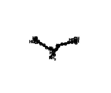 C[C@H]1[C@H]2OC[C@](COCCOCCOCCOCCn3cc(COCC(CNC(=O)CCCN)OCc4cn(CCOCCOCCOCCOC[C@@]56CO[C@@H](O5)[C@H](C)[C@@H](O)[C@H]6O)nn4)nn3)(O2)[C@H](O)[C@@H]1O